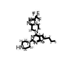 CCCc1cc2c(N3CCn4c(nnc4C(F)(F)F)C3)nc(N3CCNCC3)nc2s1